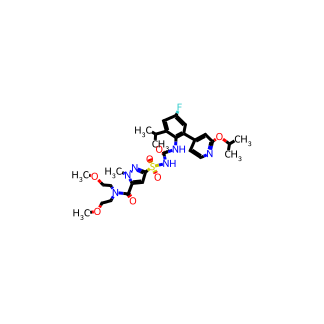 COCCN(CCOC)C(=O)c1cc(S(=O)(=O)NC(=O)Nc2c(-c3ccnc(OC(C)C)c3)cc(F)cc2C(C)C)nn1C